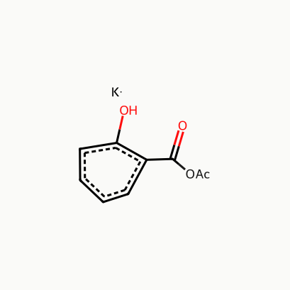 CC(=O)OC(=O)c1ccccc1O.[K]